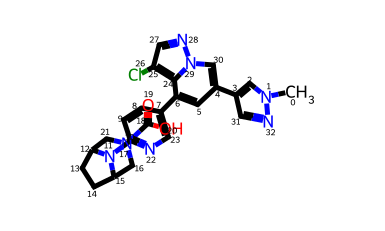 Cn1cc(-c2cc(-c3ccc(N4C5CCC4CN(C(=O)O)C5)nc3)c3c(Cl)cnn3c2)cn1